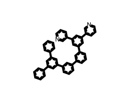 c1ccc(-c2cc(-c3ccccc3)cc(-c3cccc(-c4cccc(-c5cc(-c6cccnc6)cc(-c6cccnc6)c5)c4)c3)c2)cc1